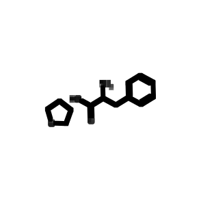 C1CCOC1.NC(Cc1ccccc1)C(=O)O